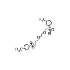 Cc1ccc(S(=O)(=O)OCCOCCOCC(c2cccc(C)c2)[SH](=O)=O)cc1